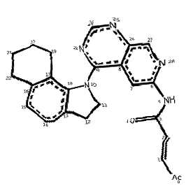 CC(=O)C=CC(=O)Nc1cc2c(N3CCc4ccc5c(c43)CCCC5)ncnc2cn1